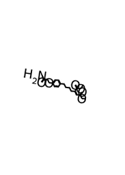 COC(=O)/C=C(/CCCCc1ccc(OCC(N)=O)cc1)C(=O)OC